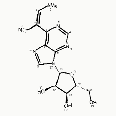 CN/C=C(/C#N)c1ncnc2c1ncn2[C@@H]1O[C@H](CO)[C@@H](O)[C@H]1O